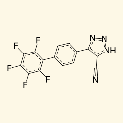 N#Cc1[nH]nnc1-c1ccc(-c2c(F)c(F)c(F)c(F)c2F)cc1